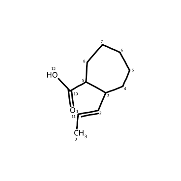 CC=CC1CCCCCC1C(=O)O